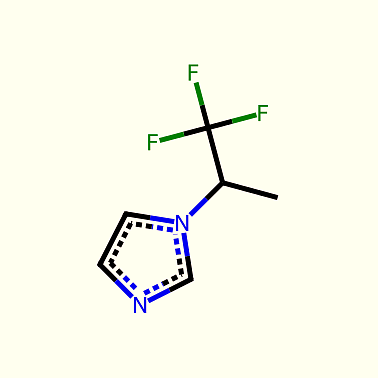 CC(n1ccnc1)C(F)(F)F